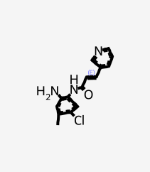 Cc1cc(N)c(NC(=O)/C=C/c2cccnc2)cc1Cl